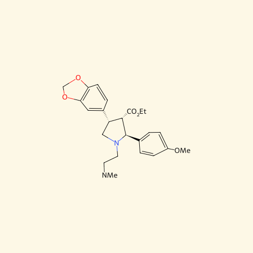 CCOC(=O)[C@H]1[C@@H](c2ccc3c(c2)OCO3)CN(CCNC)[C@@H]1c1ccc(OC)cc1